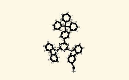 N#Cc1ccc2c(c1)c1ccccc1n2-c1nc(-c2ccc(C(c3ccccc3)(c3ccccc3)c3ccccc3)cc2)nc(-n2c3ccccc3c3ccccc32)n1